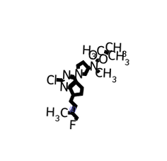 C/C(=C\CC1CCc2c1nc(Cl)nc2N1CCC(N(C)C(=O)OC(C)(C)C)C1)CF